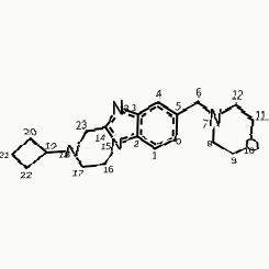 c1cc2c(cc1CN1CCOCC1)nc1n2CCN(C2CCC2)C1